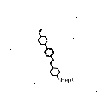 C=CC1CCC(c2ccc(C=CC3CCC(CCCCCCC)CC3)cc2)CC1